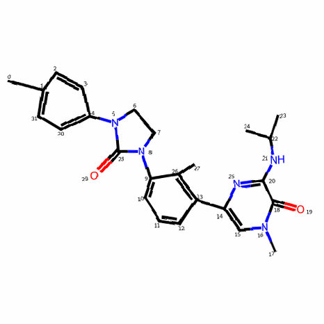 Cc1ccc(N2CCN(c3cccc(-c4cn(C)c(=O)c(NC(C)C)n4)c3C)C2=O)cc1